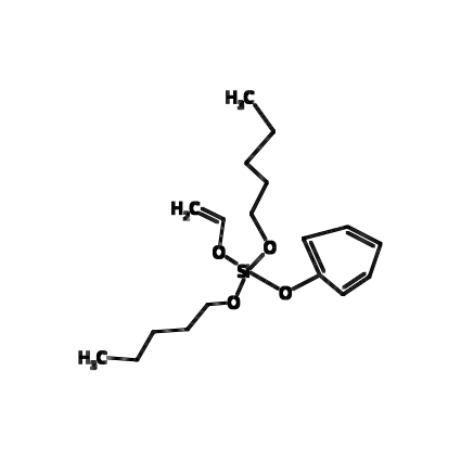 C=CO[Si](OCCCCC)(OCCCCC)Oc1ccccc1